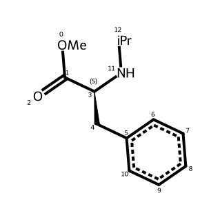 COC(=O)[C@H](Cc1ccccc1)NC(C)C